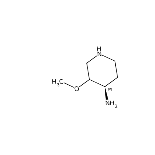 COC1CNCC[C@H]1N